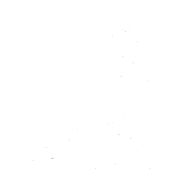 COc1cc(OC)cc(N(CCCNCC(F)(F)F)c2ccc3ncc(-c4cn[nH]c4)nc3c2)c1